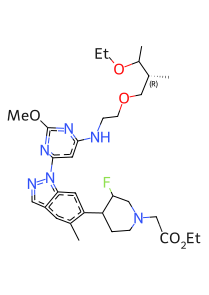 CCOC(=O)CN1CCC(c2cc3c(cnn3-c3cc(NCCOC[C@@H](C)C(C)OCC)nc(OC)n3)cc2C)C(F)C1